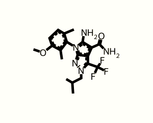 COc1ccc(C)c(-n2c(N)c(C(N)=O)c3c(C(F)(F)F)n(CC(C)C)nc32)c1C